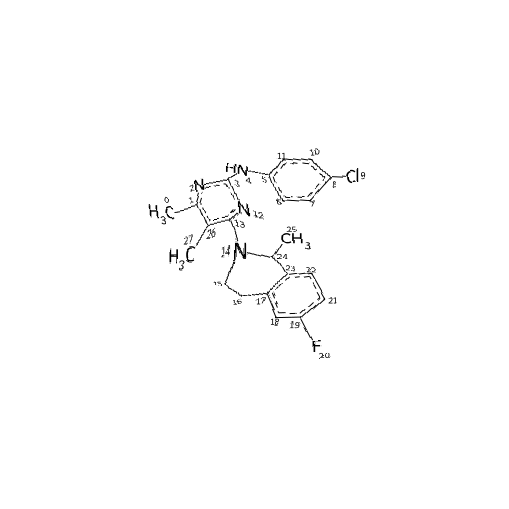 Cc1nc(Nc2ccc(Cl)cc2)nc(N2CCc3cc(F)ccc3C2C)c1C